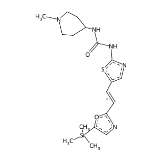 CN1CCC(NC(=O)Nc2ncc(/C=C/c3ncc([Si](C)(C)C)o3)s2)CC1